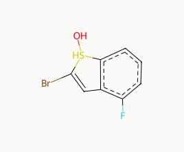 O[SH]1C(Br)=Cc2c(F)cccc21